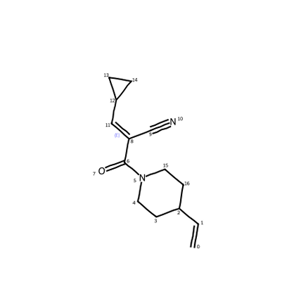 C=CC1CCN(C(=O)/C(C#N)=C/C2CC2)CC1